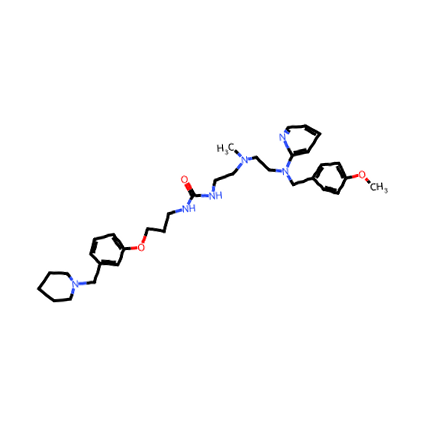 COc1ccc(CN(CCN(C)CCNC(=O)NCCCOc2cccc(CN3CCCCC3)c2)c2ccccn2)cc1